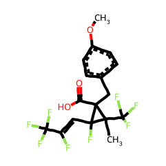 COc1ccc(CC2(C(=O)O)C(F)(C=C(F)C(F)(F)F)C2(C)C(F)(F)F)cc1